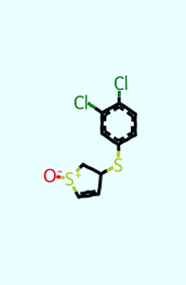 [O-][S+]1C=CC(Sc2ccc(Cl)c(Cl)c2)C1